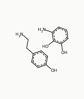 NCCc1ccc(O)cc1.Nc1cccc(O)c1O